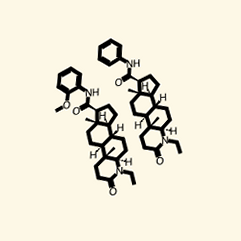 CCN1C(=O)CC[C@]2(C)[C@H]3CC[C@]4(C)[C@@H](C(=O)Nc5ccccc5)CC[C@H]4[C@@H]3CC[C@@H]12.CCN1C(=O)CC[C@]2(C)[C@H]3CC[C@]4(C)[C@@H](C(=O)Nc5ccccc5OC)CC[C@H]4[C@@H]3CC[C@@H]12